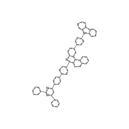 c1ccc(-c2cc(-c3ccc(-c4ccc(-c5nc6ccc(-c7ccc(-n8c9ccccc9c9ccccc98)cc7)cc6c6c5ccc5ccccc56)cc4)cc3)nc(-c3ccccc3)n2)cc1